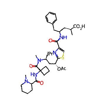 CC(=O)O[C@H](C[C@H](C(C)C)N(C)C(=O)C1(NC(=O)C2CCCCN2C)CCC1)c1nc(C(=O)NC(Cc2ccccc2)CC(C)C(=O)O)cs1